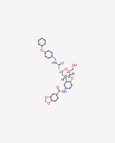 O=C(C[C@H]1C[C@H]2c3cc(NC(=O)c4ccc5c(c4)OCO5)ccc3O[C@H]2[C@H](CO)O1)NCc1ccc(Oc2ccccc2)cc1